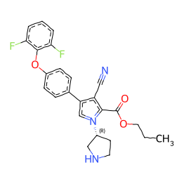 CCCOC(=O)c1c(C#N)c(-c2ccc(Oc3c(F)cccc3F)cc2)cn1[C@@H]1CCNC1